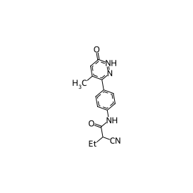 CCC(C#N)C(=O)Nc1ccc(-c2n[nH]c(=O)cc2C)cc1